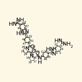 N=C(N)c1ccc2nc(-c3ccc(NC(=O)[C@@H]4CCCN4C(=O)[C@H]4CCCN4C(=O)c4ccc(-c5nc6ccc(C(=N)N)cc6[nH]5)cc4)cc3)[nH]c2c1